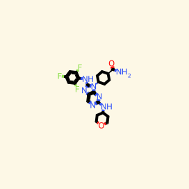 NC(=O)[C@H]1CC[C@@H](n2c(Nc3c(F)cc(F)cc3F)nc3cnc(NC4CCOCC4)nc32)CC1